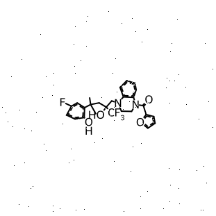 CC(C)(CC(O)(CN1CCN(C(=O)c2ccco2)c2ccccc21)C(F)(F)F)c1cc(F)ccc1O